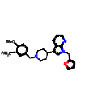 COc1ccc(CN2CCC(c3cn(Cc4ccco4)c4ncccc34)CC2)cc1C(=O)O